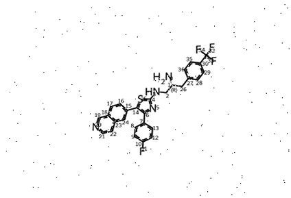 N[C@@H](CNc1nc(-c2ccc(F)cc2)c(-c2ccc3cnccc3c2)s1)Cc1ccc(C(F)(F)F)cc1